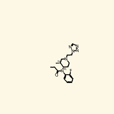 CCC(=O)N(c1ccccc1F)[C@@H]1CCN(CCn2ncnn2)C[C@@H]1C